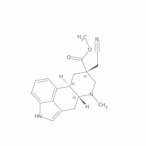 COC(=O)[C@@]1(CC#N)C[C@@H]2c3cccc4[nH]cc(c34)C[C@H]2N(C)C1